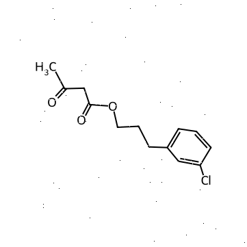 CC(=O)CC(=O)OCCCc1cccc(Cl)c1